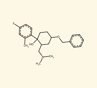 Cc1cc(F)ccc1C1(O)CCC(OCc2ccccc2)CC1CN(C)C